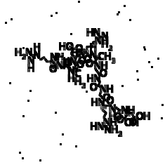 C[C@H](NC(=O)CNC(=O)[C@@H](N)CCCNC(=N)N)C(=O)N[C@@H](CC(=O)O)C(=O)N[C@@H](CCCNC(=N)N)C(=O)N[C@@H](C)C(=O)NCC(=O)NCC(=O)NCC(=O)N[C@@H](CCCNC(=N)N)C(=O)NCC(=O)N[C@@H](CC(=O)O)C(=O)O